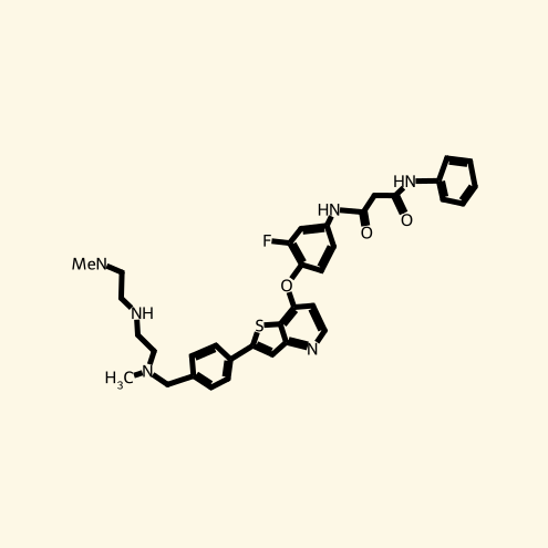 CNCCNCCN(C)Cc1ccc(-c2cc3nccc(Oc4ccc(NC(=O)CC(=O)Nc5ccccc5)cc4F)c3s2)cc1